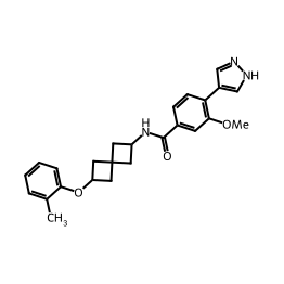 COc1cc(C(=O)NC2CC3(C2)CC(Oc2ccccc2C)C3)ccc1-c1cn[nH]c1